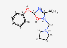 CC1=NC(Oc2ccccc2)ON1CN1CCCC1